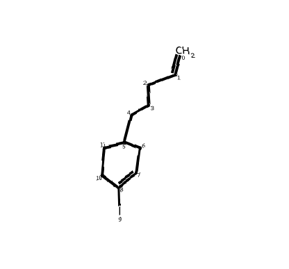 C=CCCCC1CC=C(I)CC1